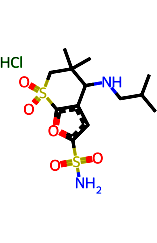 CC(C)CNC1c2cc(S(N)(=O)=O)oc2S(=O)(=O)CC1(C)C.Cl